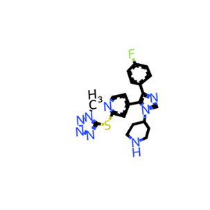 Cn1nnnc1Sc1cc(-c2c(-c3ccc(F)cc3)ncn2C2CCNCC2)ccn1